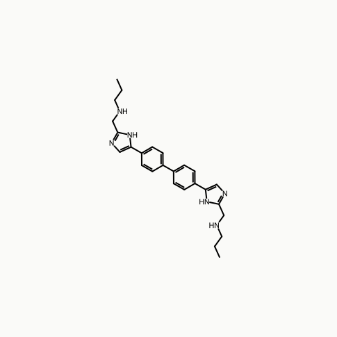 CCCNCc1ncc(-c2ccc(-c3ccc(-c4cnc(CNCCC)[nH]4)cc3)cc2)[nH]1